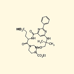 CCOC(=O)N1CCN(C(=O)C(CCC(=O)O)NC(=O)c2cc(NC(C)(C)COC)nc(-c3ccccc3)n2)CC1.Cl